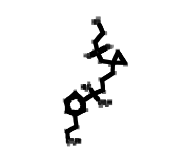 CCOC(=O)CCc1cccc(C(C)(CCCC2(CS(=O)(=O)CCO)CC2)C(=O)O)c1